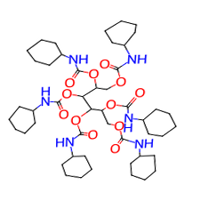 O=C(NC1CCCCC1)OCC(OC(=O)NC1CCCCC1)C(OC(=O)NC1CCCCC1)C(OC(=O)NC1CCCCC1)C(COC(=O)NC1CCCCC1)OC(=O)NC1CCCCC1